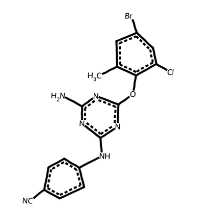 Cc1cc(Br)cc(Cl)c1Oc1nc(N)nc(Nc2ccc(C#N)cc2)n1